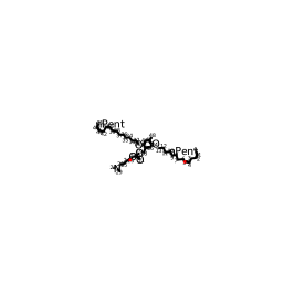 CCCCC/C=C\C/C=C\CCCCCCCCOc1cc(COC(=O)OCCCCN(C)C)c(OCCCCCCCC/C=C\C/C=C\CCCCC)cc1C